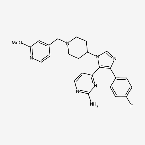 COc1cc(CN2CCC(n3cnc(-c4ccc(F)cc4)c3-c3ccnc(N)n3)CC2)ccn1